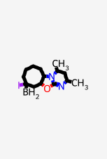 BC1(I)CCCCC2C(C1)OC1=NC(C)CC(C)N12